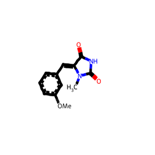 COc1cccc(C=C2C(=O)NC(=O)N2C)c1